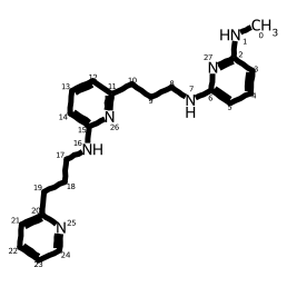 CNc1cccc(NCCCc2cccc(NCCCc3ccccn3)n2)n1